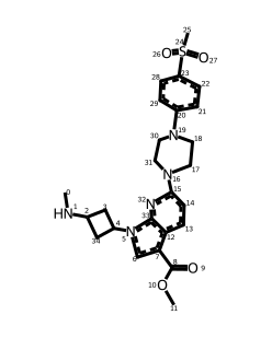 CNC1CC(n2cc(C(=O)OC)c3ccc(N4CCN(c5ccc(S(C)(=O)=O)cc5)CC4)nc32)C1